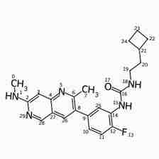 CNc1cc2nc(C)c(-c3ccc(F)c(NC(=O)NCCC4CCC4)c3)cc2cn1